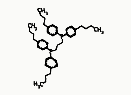 CCCCc1ccc(P(CCCP(c2ccc(CCCC)cc2)c2ccc(CCCC)cc2)c2ccc(CCCC)cc2)cc1